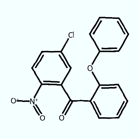 O=C(c1ccccc1Oc1ccccc1)c1cc(Cl)ccc1[N+](=O)[O-]